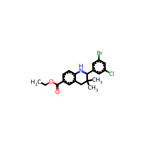 CCOC(=O)c1ccc2c(c1)CC(C)(C)C(c1cc(Cl)cc(Br)c1)N2